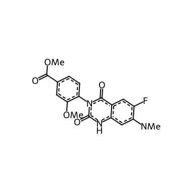 CNc1cc2[nH]c(=O)n(-c3ccc(C(=O)OC)cc3OC)c(=O)c2cc1F